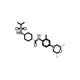 Cc1cc(N2C[C@@H](C)O[C@@H](C)C2)ccc1NC(=O)[C@H]1CC[C@H](NS(=O)(=O)C(C)C)CC1